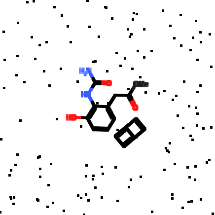 COC(=O)Cc1cccc(O)c1NC(N)=O.c1cc2ccc1-2